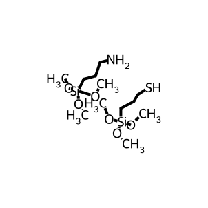 CO[Si](CCCN)(OC)OC.CO[Si](CCCS)(OC)OC